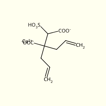 C=CCC(CC=C)(C(=O)[O-])C(C(=O)[O-])S(=O)(=O)O.[Ca+2]